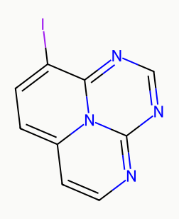 IC1=CC=C2C=CN=C3N=CN=C1N23